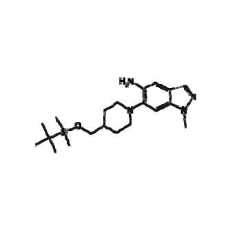 Cn1ncc2cc(N)c(N3CCC(CO[Si](C)(C)C(C)(C)C)CC3)cc21